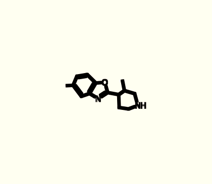 Cc1ccc2oc(C3CCNCC3C)nc2c1